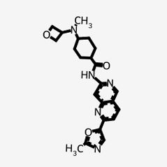 Cc1ncc(-c2ccc3cnc(NC(=O)C4CCC(N(C)C5COC5)CC4)cc3n2)o1